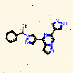 CCC(c1ccccc1)n1cc(-c2nc(-c3cn[nH]c3)cn3nccc23)cn1